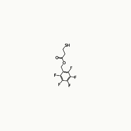 O=C(CCS)OCc1c(F)c(F)c(F)c(F)c1F